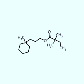 CCC(C)(C)C(=O)OCCC[N+]1(C)CCCCC1